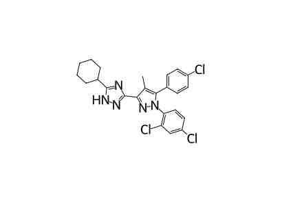 Cc1c(-c2n[nH]c(C3CCCCC3)n2)nn(-c2ccc(Cl)cc2Cl)c1-c1ccc(Cl)cc1